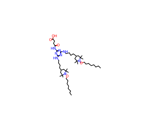 CCCCCCCCON1C(C)(C)CC(CCCCNc2nc(NCCCCC3CC(C)(C)N(OCCCCCCCC)C(C)(C)C3)nc(NC(=O)CCC(=O)O)n2)CC1(C)C